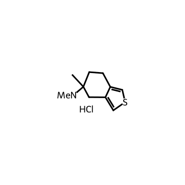 CNC1(C)CCc2cscc2C1.Cl